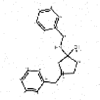 CC1(NCc2ccccc2)CCN(Cc2ccccc2)C1